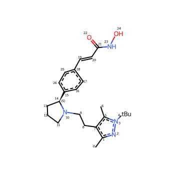 Cc1nn(C(C)(C)C)c(C)c1CCN1CCC[C@H]1c1ccc(C=CC(=O)NO)cc1